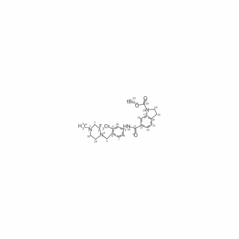 CN1CCN(Cc2ccc(NC(=O)c3ccc4c(c3)N(C(=O)OC(C)(C)C)CC4)cc2C(F)(F)F)CC1